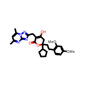 COc1ccc(CCC2(C3CCCC3)CC(O)=C(Cc3nc4nc(C)cc(C)n4n3)C(=O)O2)c(OC)c1